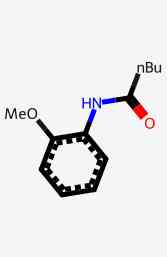 CCCCC(=O)Nc1ccccc1OC